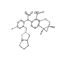 O=C(O)c1c(N(c2ccc(F)cc2CC2CC3CCCN3C2)[SH](=O)=O)ccc2c1OC[C@@H]1C[C@H]21